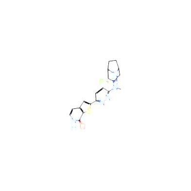 CN(c1ccc(-c2cc3cc[nH]c(=O)c3s2)nn1)[C@H]1CC2CCC(N2)[C@H]1F